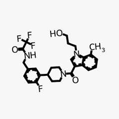 Cc1cccc2c(C(=O)N3CCC(c4cc(CNC(=O)C(F)(F)F)ccc4F)CC3)cn(CCCO)c12